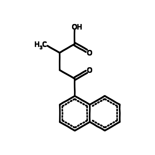 CC(CC(=O)c1cccc2ccccc12)C(=O)O